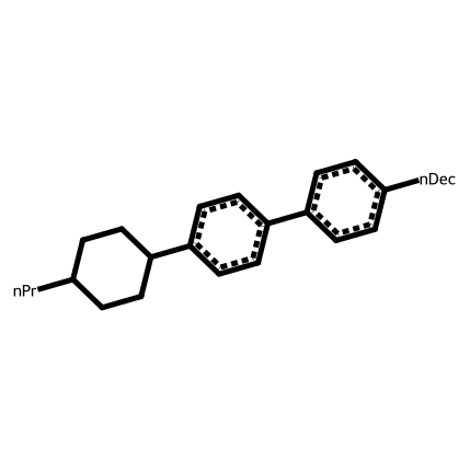 CCCCCCCCCCc1ccc(-c2ccc(C3CCC(CCC)CC3)cc2)cc1